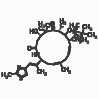 C/C1=C/C[C@@H](/C(C)=C/c2csc(C)n2)NC(=O)C[C@H](O)C(C)(C)C(=O)[C@H](C)C(O[Si](C)(C)C(C)(C)C)[C@@H](C)/C=C\C1